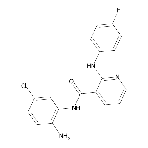 Nc1ccc(Cl)cc1NC(=O)c1cccnc1Nc1ccc(F)cc1